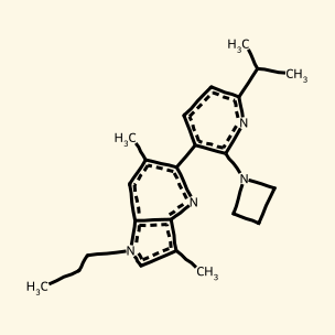 CCCn1cc(C)c2nc(-c3ccc(C(C)C)nc3N3CCC3)c(C)cc21